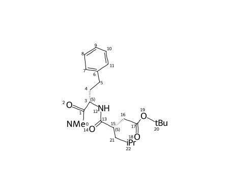 CNC(=O)[C@H](CCc1ccccc1)NC(=O)[C@H](CC(=O)OC(C)(C)C)CC(C)C